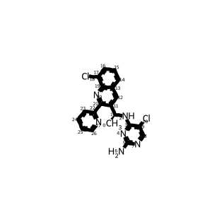 C[C@H](Nc1nc(N)ncc1Cl)c1cc2cccc(Cl)c2nc1-c1ccccn1